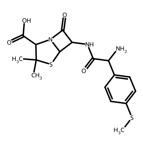 CSc1ccc(C(N)C(=O)NC2C(=O)N3C2SC(C)(C)C3C(=O)O)cc1